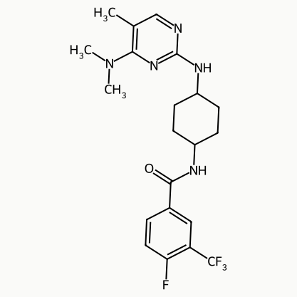 Cc1cnc(NC2CCC(NC(=O)c3ccc(F)c(C(F)(F)F)c3)CC2)nc1N(C)C